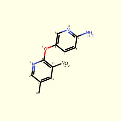 Cc1cnc(Oc2ccc(N)nc2)c([N+](=O)[O-])c1